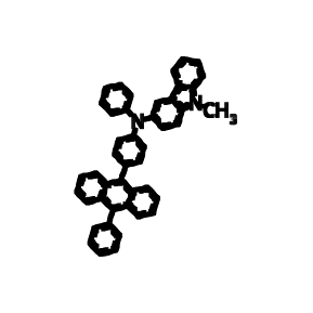 Cn1c2ccccc2c2cc(N(c3ccccc3)c3ccc(-c4c5ccccc5c(-c5ccccc5)c5ccccc45)cc3)ccc21